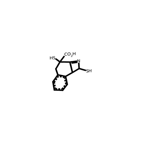 O=C(O)C1(S)Cc2ccccc2C2C1=NC2S